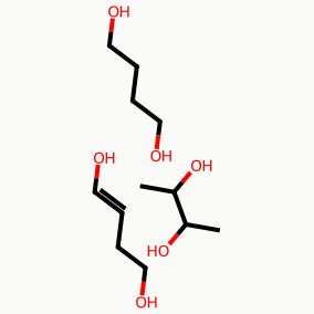 CC(O)C(C)O.OC=CCCO.OCCCCO